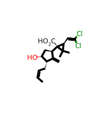 C=C1[C@H]([C@@]2(C(=O)O)[C@@H](C=C(Cl)Cl)C2(C)C)C[C@@H](O)[C@H]1C/C=C\C